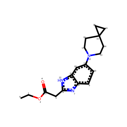 CCOC(=O)Cc1nc2ccc(N3CCC4(CC3)CC4)cc2[nH]1